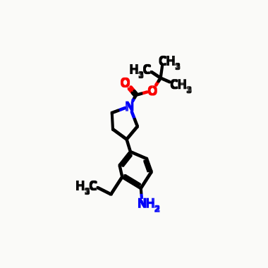 CCc1cc(C2CCN(C(=O)OC(C)(C)C)C2)ccc1N